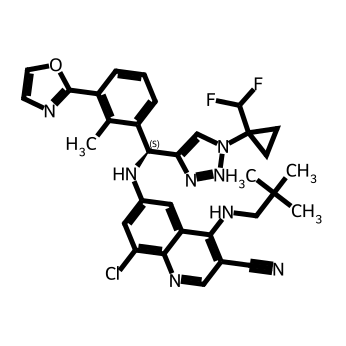 Cc1c(-c2ncco2)cccc1[C@H](Nc1cc(Cl)c2ncc(C#N)c(NCC(C)(C)C)c2c1)c1cn(C2(C(F)F)CC2)nn1